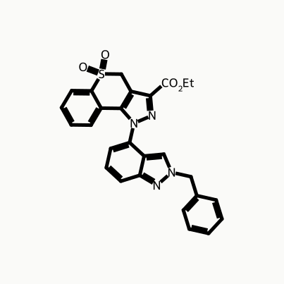 CCOC(=O)c1nn(-c2cccc3nn(Cc4ccccc4)cc23)c2c1CS(=O)(=O)c1ccccc1-2